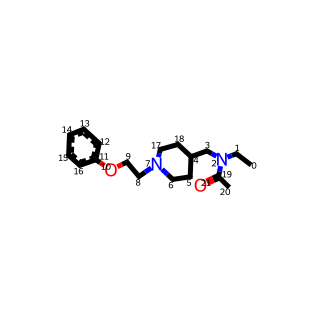 CCN(CC1CCN(CCOc2ccccc2)CC1)C(C)=O